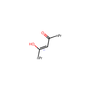 CCCC(=O)/C=C(\O)CCC